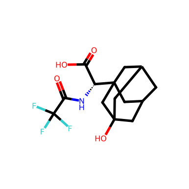 O=C(O)[C@@H](NC(=O)C(F)(F)F)C12CC3CC(CC(O)(C3)C1)C2